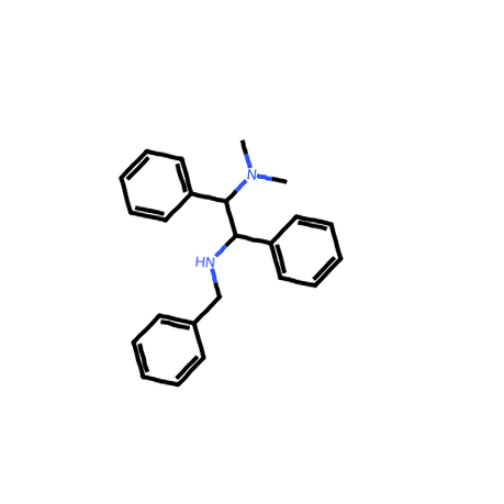 CN(C)C(c1ccccc1)C(NCc1ccccc1)c1ccccc1